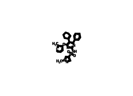 Cc1ccccc1Oc1nc(NS(=O)(=O)c2cnn(C)c2)nc(-c2ccccc2)c1C1=CCCCC1